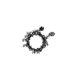 CC[C@@H]1NC(=O)[C@H]([C@H](O)[C@H](C)CCCCCn2ccnn2)NC(=O)[C@H](C(C)C)N(C)C(=O)[C@H](CC(C)C)N(C)C(=O)[C@H](CC(C)C)N(C)C(=O)[C@@H](C)NC(=O)[C@H](C)NC(=O)[C@H](CC(C)C)N(C)C(=O)[C@H](C(C)C)NC(=O)[C@H]([C@@H](C)OCCCCN2CCOCC2)N(C)C(=O)[C@@H](C)N(C)C1=O